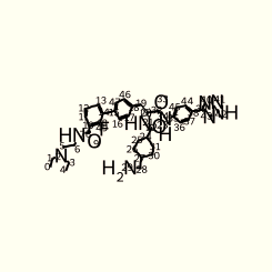 CCN(CC)CCNC(=O)c1cccc(-c2ccc(C[C@H](NC(=O)C3CCC(CN)CC3)C(=O)Nc3ccc(-c4nn[nH]n4)cc3)cc2)c1F